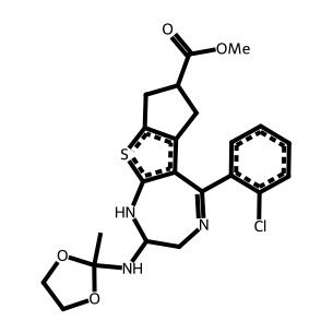 COC(=O)C1Cc2sc3c(c2C1)C(c1ccccc1Cl)=NCC(NC1(C)OCCO1)N3